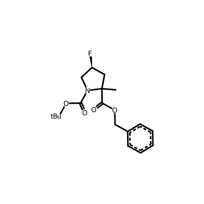 CC(C)(C)OC(=O)N1C[C@@H](F)CC1(C)C(=O)OCc1ccccc1